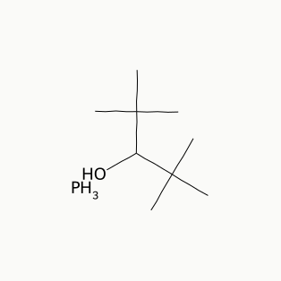 CC(C)(C)C(O)C(C)(C)C.P